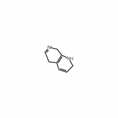 C1=CC2=C(C[N+]=CC2)NC1